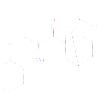 O=C(C1CCC2CCCCC2N1)C12CC3CC(CC(C3)C1)C2